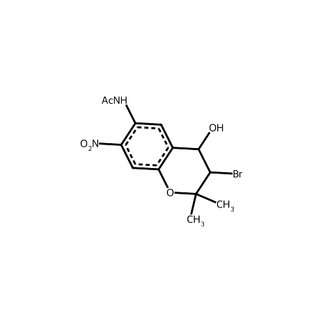 CC(=O)Nc1cc2c(cc1[N+](=O)[O-])OC(C)(C)C(Br)C2O